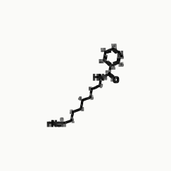 CCCCCCCCCCCCCCCCNC(=O)c1cc[c]nc1